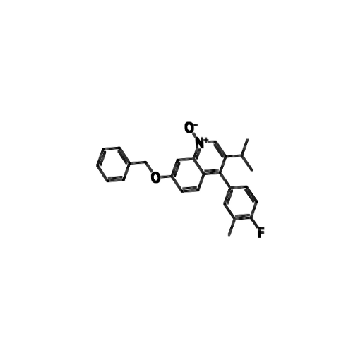 Cc1cc(-c2c(C(C)C)c[n+]([O-])c3cc(OCc4ccccc4)ccc23)ccc1F